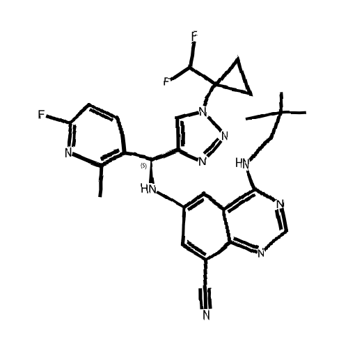 Cc1nc(F)ccc1[C@H](Nc1cc(C#N)c2ncnc(NCC(C)(C)C)c2c1)c1cn(C2(C(F)F)CC2)nn1